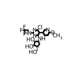 COc1ccc(-c2c(Cl)nc(NCC(F)(F)F)nc2N[C@@H]2C[C@H](CO)[C@@H](O)[C@H]2O)cn1